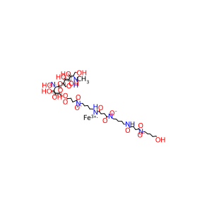 CNC(CO)[C@H](O)[C@H](O)[C@@H](O)[C@@H](C=O)O[C@@H]1O[C@@H](COC(=O)CCC(=O)N([O-])CCCCCNC(=O)CCC(=O)N([O-])CCCCCNC(=O)CCC(=O)N([O-])CCCCCO)[C@H](O)[C@@H](O)/C1=N\O.[Fe+3]